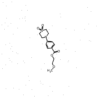 COCCOC(=O)c1ccc(N2CCS(=O)(=O)CC2)cc1